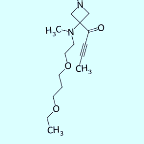 CC#CC(=O)C1(N(C)CCOCCCOCC)CNC1